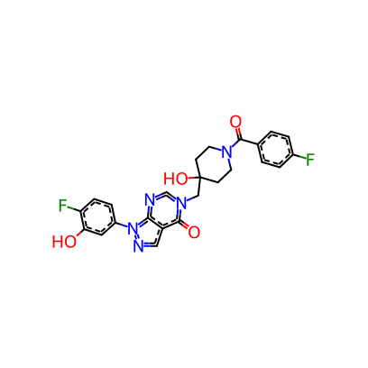 O=C(c1ccc(F)cc1)N1CCC(O)(Cn2cnc3c(cnn3-c3ccc(F)c(O)c3)c2=O)CC1